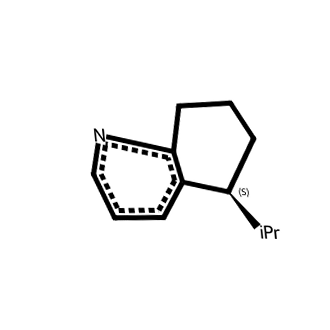 CC(C)[C@@H]1CCCc2ncccc21